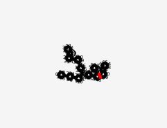 c1ccc(-c2ccc(-c3cccc(N(c4ccc(-c5cccc(-c6cccc7c6oc6ccccc67)c5)cc4)c4ccc(-c5ccccc5-c5ccccc5-n5c6ccccc6c6ccccc65)cc4)c3)cc2)cc1